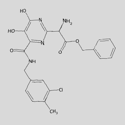 Cc1ccc(CNC(=O)c2nc(C(N)C(=O)OCc3ccccc3)nc(O)c2O)cc1Cl